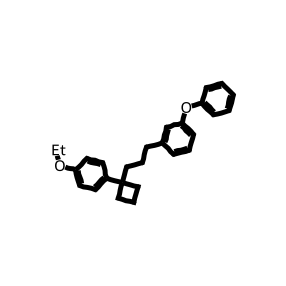 CCOc1ccc(C2(CCCc3cccc(Oc4ccccc4)c3)CCC2)cc1